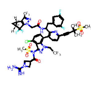 CC(C)(C#Cc1ccc(-c2ccc(Cl)c3c(N(C(=O)C4CN(C(=N)N)C4)S(C)(=O)=O)nn(CC(F)(F)F)c23)c(C(Cc2cc(F)cc(F)c2)NC(=O)Cn2nc(C(F)(F)F)c3c2C(F)(F)[C@@H]2C[C@H]32)n1)S(C)(=O)=O